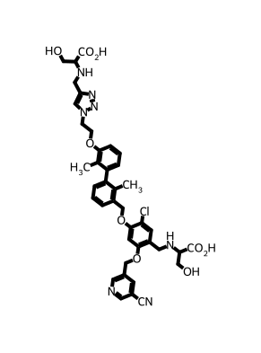 Cc1c(COc2cc(OCc3cncc(C#N)c3)c(CNC(CO)C(=O)O)cc2Cl)cccc1-c1cccc(OCCn2cc(CNC(CO)C(=O)O)nn2)c1C